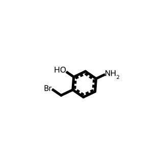 Nc1ccc(CBr)c(O)c1